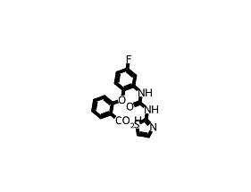 O=C(Nc1nccs1)Nc1cc(F)ccc1Oc1ccccc1C(=O)O